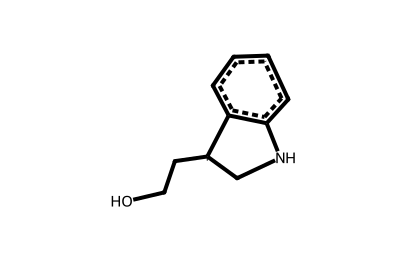 OCC[C]1CNc2ccccc21